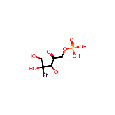 CCC(O)(CO)C(O)C(=O)COP(=O)(O)O